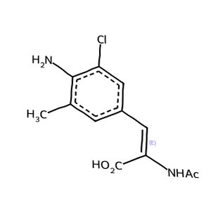 CC(=O)N/C(=C/c1cc(C)c(N)c(Cl)c1)C(=O)O